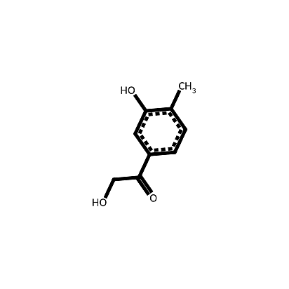 Cc1ccc(C(=O)CO)cc1O